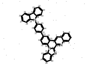 c1ccc2nc3c(cc2c1)c1cc(-c2ccc(-n4c5ccccc5c5ccccc54)cc2)ccc1n1c2ccccc2nc31